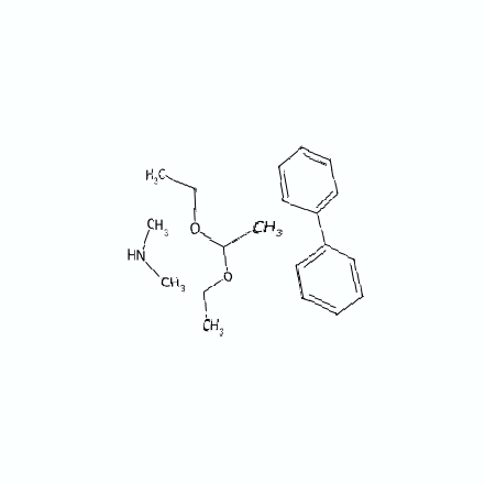 CCOC(C)OCC.CNC.c1ccc(-c2ccccc2)cc1